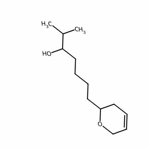 CC(C)C(O)CCCCC1CC=CCO1